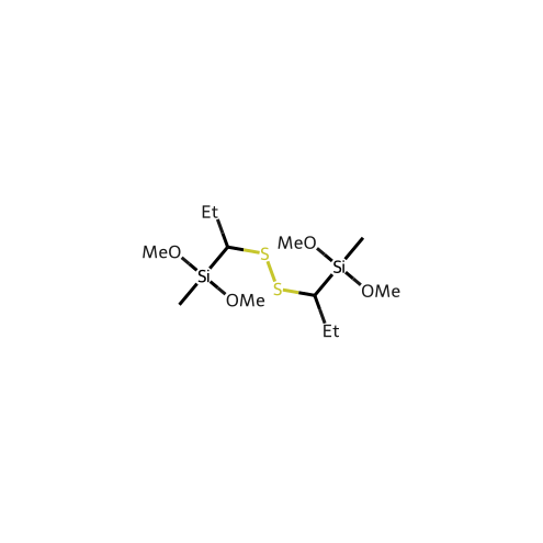 CCC(SSC(CC)[Si](C)(OC)OC)[Si](C)(OC)OC